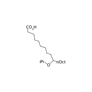 CCCCCCCCC(CCCCCCCCC(=O)O)OC(C)C